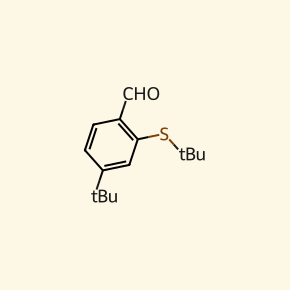 CC(C)(C)Sc1cc(C(C)(C)C)ccc1C=O